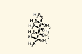 BSS(B)(B)S(B)(B)S(B)(B)S(B)(B)CC